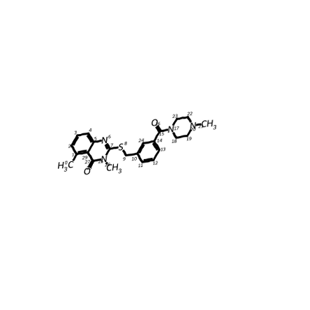 Cc1cccc2nc(SCc3cccc(C(=O)N4CCN(C)CC4)c3)n(C)c(=O)c12